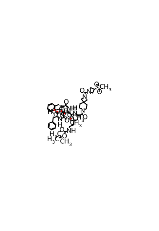 CC(C)C[C@@H](NC(=O)[C@@H](Cc1ccccc1)NC(=O)C(Cc1ccccc1)NC(=O)OC(C)(C)C)C(=O)N[C@H](CCCCNC(=O)OC(C)(C)C)C(=O)N1CCC2(CC1)CN(C(=O)N1CC(S(C)(=O)=O)C1)C2